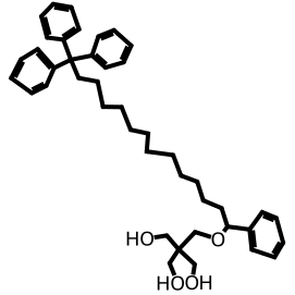 OCC(CO)(CO)COC(CCCCCCCCCCCCC(c1ccccc1)(c1ccccc1)c1ccccc1)c1ccccc1